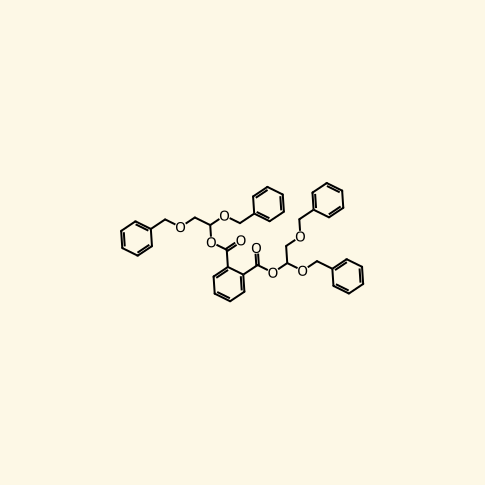 O=C(OC(COCc1ccccc1)OCc1ccccc1)c1ccccc1C(=O)OC(COCc1ccccc1)OCc1ccccc1